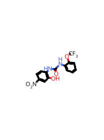 O=C(Nc1ccc([N+](=O)[O-])cc1O)Nc1ccccc1OC(F)(F)F